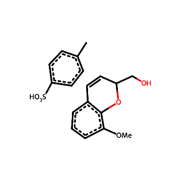 COc1cccc2c1OC(CO)C=C2.Cc1ccc(S(=O)(=O)O)cc1